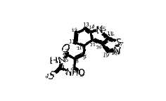 O=C1NC(=S)NC(=O)C1=CC1C=CC=C2N=c3sncc3=C21